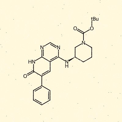 CC(C)(C)OC(=O)N1CCC[C@@H](Nc2ncnc3[nH]c(=O)c(-c4ccccc4)cc23)C1